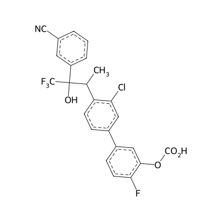 CC(c1ccc(-c2ccc(F)c(OC(=O)O)c2)cc1Cl)C(O)(c1cccc(C#N)c1)C(F)(F)F